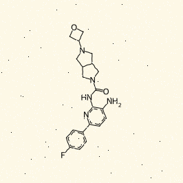 Nc1ccc(-c2ccc(F)cc2)nc1NC(=O)N1CC2CN(C3COC3)CC2C1